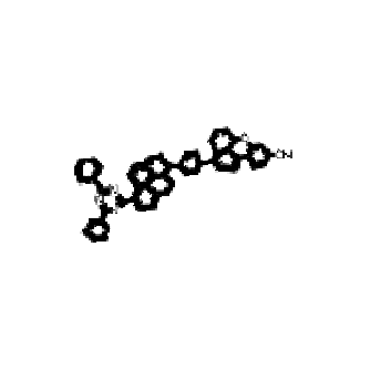 N#Cc1ccc2c(c1)Oc1cccc3c(-c4ccc(-c5ccc6ccc7c(-c8nc(-c9ccccc9)nc(-c9ccccc9)n8)ccc8ccc5c6c87)cc4)ccc-2c13